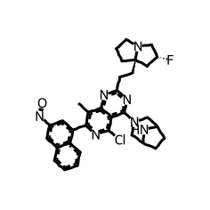 Cc1c(-c2cc(N=O)cc3ccccc23)nc(Cl)c2c(N3CC4CCC(C3)N4)nc(CC[C@@]34CCCN3C[C@H](F)C4)nc12